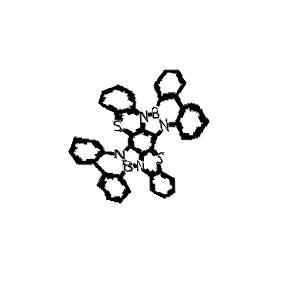 C1=CC2=C(CC1)B1N(c3ccccc32)c2c3sc4ccccc4n4c3c(c3sc5ccccc5n1c23)N1B4c2ccccc2-c2ccccc21